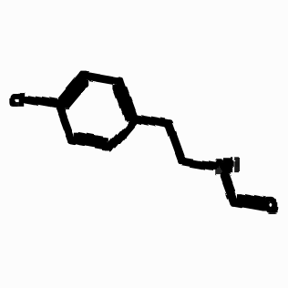 O=CNCCc1ccc(Cl)cc1